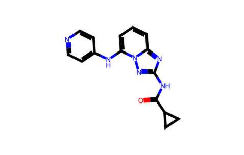 O=C(Nc1nc2cccc(Nc3ccncc3)n2n1)C1CC1